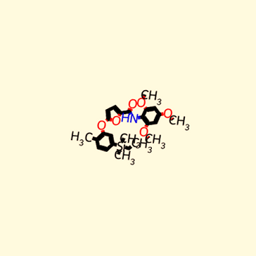 CC[Si](C)(C)c1ccc(C)c(Oc2ccc(C(=O)Nc3c(OC)cc(OC)cc3OC)o2)c1